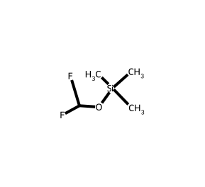 C[Si](C)(C)OC(F)F